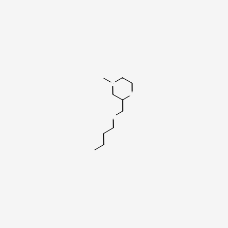 CCCCOCC1CN(C)CCO1